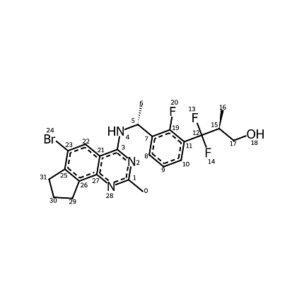 Cc1nc(N[C@H](C)c2cccc(C(F)(F)[C@@H](C)CO)c2F)c2cc(Br)c3c(c2n1)CCC3